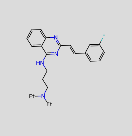 CCN(CC)CCCNc1nc(C=Cc2cccc(F)c2)nc2ccccc12